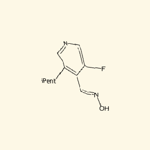 CCCC(C)c1cncc(F)c1/C=N/O